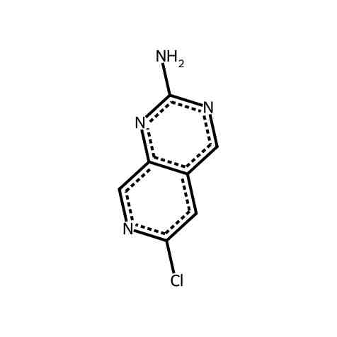 Nc1ncc2cc(Cl)ncc2n1